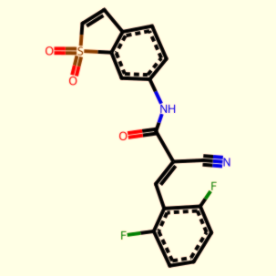 N#CC(=Cc1c(F)cccc1F)C(=O)Nc1ccc2c(c1)S(=O)(=O)C=C2